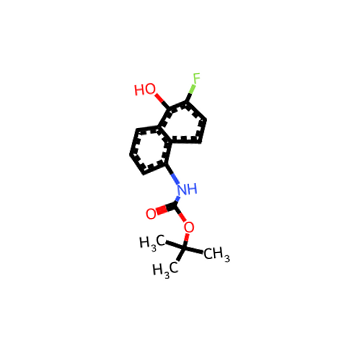 CC(C)(C)OC(=O)Nc1cccc2c(O)c(F)ccc12